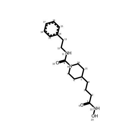 O=C(CCCC1CCN(C(=O)NCCc2ccccc2)CC1)NO